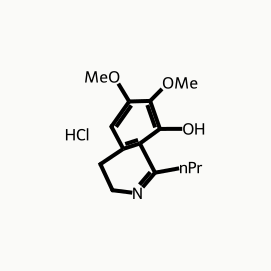 CCCC1=NCCc2cc(OC)c(OC)c(O)c21.Cl